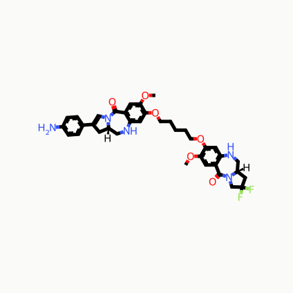 COc1cc2c(cc1OCCCCCOc1cc3c(cc1OC)C(=O)N1CC(F)(F)C[C@H]1CN3)NC[C@@H]1CC(c3ccc(N)cc3)=CN1C2=O